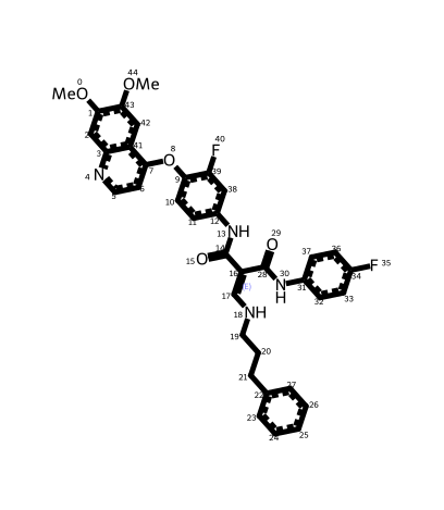 COc1cc2nccc(Oc3ccc(NC(=O)/C(=C/NCCCc4ccccc4)C(=O)Nc4ccc(F)cc4)cc3F)c2cc1OC